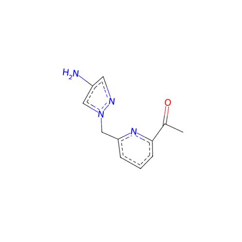 CC(=O)c1cccc(Cn2cc(N)cn2)n1